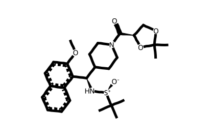 COc1ccc2ccccc2c1[C@H](N[S@@+]([O-])C(C)(C)C)C1CCN(C(=O)[C@H]2COC(C)(C)O2)CC1